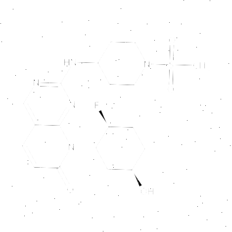 CS(=O)(=O)N1CCC(Nc2ncc3ccc(=O)n([C@H]4C[C@H](O)CC[C@@H]4F)c3n2)CC1